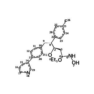 CCO[C@H](CC(=O)NO)[C@H](Cc1ccc(-c2cccnc2)cc1)c1ccc(F)cc1